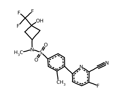 Cc1cc(S(=O)(=O)N(C)C2CC(O)(C(F)(F)F)C2)ccc1-c1ccc(F)c(C#N)n1